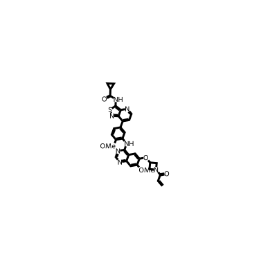 C=CC(=O)N1CC(Oc2cc3c(Nc4cc(-c5ccnc6c(NC(=O)C7CC7)snc56)ccc4OC)ncnc3cc2OC)C1